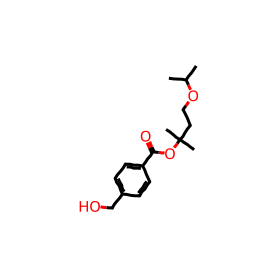 CC(C)OCCC(C)(C)OC(=O)c1ccc(CO)cc1